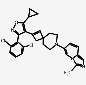 FC(F)(F)c1ncc2ccc(N3CCC4(C=C(c5c(-c6c(Cl)cccc6Cl)noc5C5CC5)C4)CC3)cn12